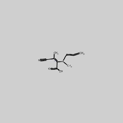 C=C=CN(C)/C(C(=O)O)=C(\C)C#N